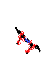 C=CC(=O)OCCOC(=O)c1cc(OC(=O)N2CCN(C(=O)Oc3ccc(OC(=O)[C@H]4CC[C@H](CCCC)CC4)c(C(=O)OCCOC(=O)C=C)c3)CC2)ccc1OC(=O)C1CCC(CCCC)CC1